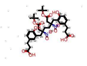 CC(C)(C)OC(=O)CC(CCC(CC(=O)OC(C)(C)C)(Cc1cc(CCC(=O)O)ccc1O)[N+](=O)[O-])(Cc1cc(CCC(=O)O)ccc1O)[N+](=O)[O-]